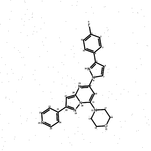 Fc1ccc(-c2ccn(-c3cc(N4CCOCC4)n4nc(-c5ccncc5)cc4n3)n2)cc1